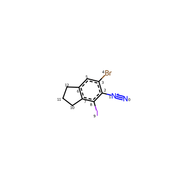 N#[N+]c1c(Br)cc2c(c1I)CCC2